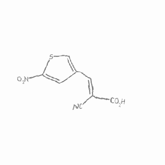 N#C/C(=C\c1csc([N+](=O)[O-])c1)C(=O)O